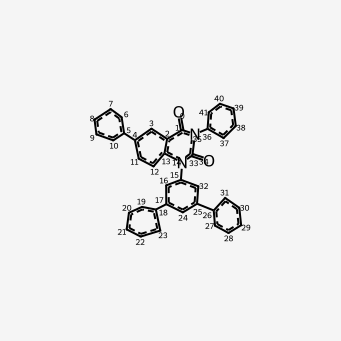 O=c1c2cc(-c3ccccc3)ccc2n(-c2cc(-c3ccccc3)cc(-c3ccccc3)c2)c(=O)n1-c1ccccc1